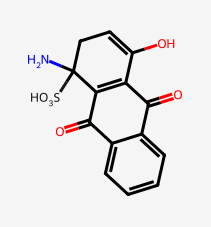 NC1(S(=O)(=O)O)CC=C(O)C2=C1C(=O)c1ccccc1C2=O